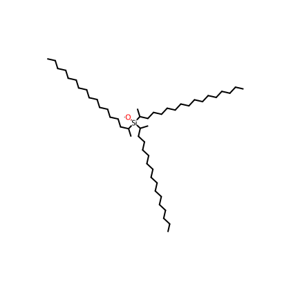 CCCCCCCCCCCCCCCC(C)[Si]([O])(C(C)CCCCCCCCCCCCCCC)C(C)CCCCCCCCCCCCCCC